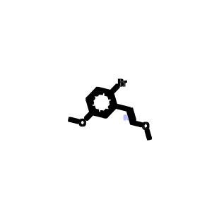 CO/C=C/c1cc(OC)ccc1Br